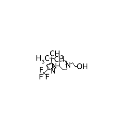 CC(C)(C)c1cc(C(F)(F)F)nn1C1CCN(CCO)CC1